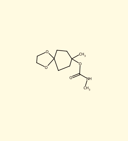 CNC(=O)OC1(C)CCC2(CC1)OCCO2